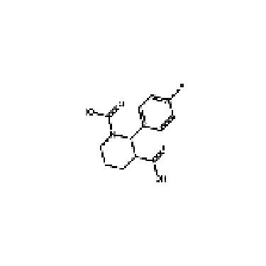 O=C(O)C1CCCN(C(=O)O)C1c1ccc(F)cc1